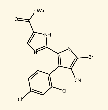 COC(=O)c1cnc(-c2sc(Br)c(C#N)c2-c2ccc(Cl)cc2Cl)[nH]1